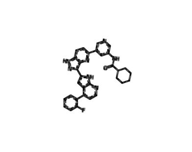 O=C(Nc1cncc(-c2ccc3[nH]nc(-c4cc5c(-c6ccccc6F)ccnc5[nH]4)c3n2)c1)C1CCCCC1